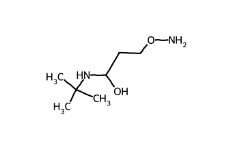 CC(C)(C)NC(O)CCON